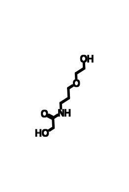 O=C(CO)NCCCOCCO